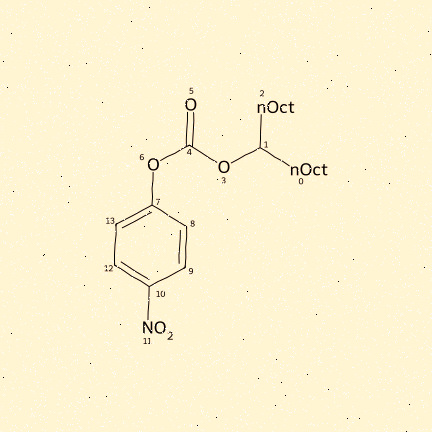 CCCCCCCCC(CCCCCCCC)OC(=O)Oc1ccc([N+](=O)[O-])cc1